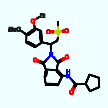 CCOc1cc(C(CS(C)(=O)=O)N2C(=O)c3cccc(NC(=O)C4CCCC4)c3C2=O)ccc1OC